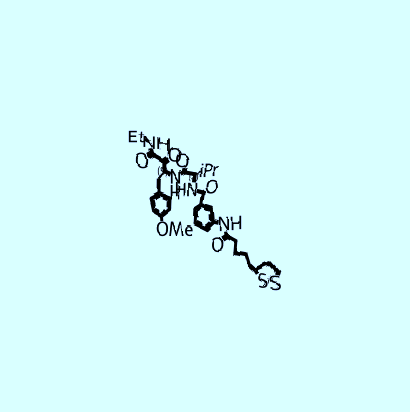 CCNC(=O)C(=O)[C@H](Cc1ccc(OC)cc1)NC(=O)[C@@H](NC(=O)c1cccc(NC(=O)CCCCC2CCSS2)c1)C(C)C